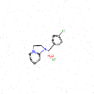 Clc1ccc(CN2CC[n+]3ccccc32)cc1.O.[Cl-]